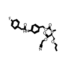 CCCOC[C@@H](C(=O)OCC#N)N(C)C(=O)OCc1ccc(NC(=O)Cc2ccc(F)cc2)cc1